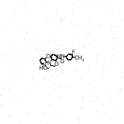 Cc1ccc(NC(=O)c2cccc3c2OC[C@H](CO)N3c2ncccc2Cl)cc1F